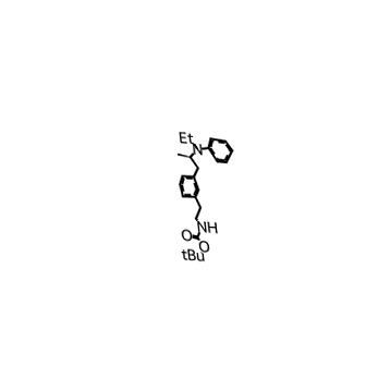 CCN(c1ccccc1)[C@H](C)Cc1cccc(CCNC(=O)OC(C)(C)C)c1